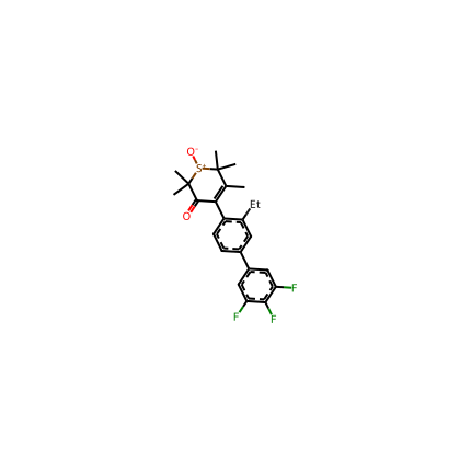 CCc1cc(-c2cc(F)c(F)c(F)c2)ccc1C1=C(C)C(C)(C)[S+]([O-])C(C)(C)C1=O